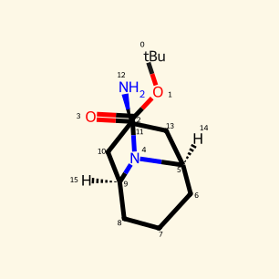 CC(C)(C)OC(=O)N1[C@@H]2CCC[C@H]1C[C@@H](N)C2